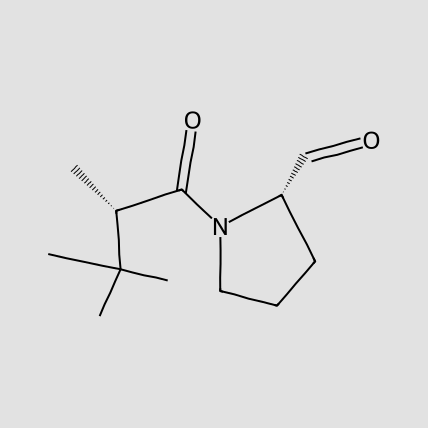 C[C@H](C(=O)N1CCC[C@H]1C=O)C(C)(C)C